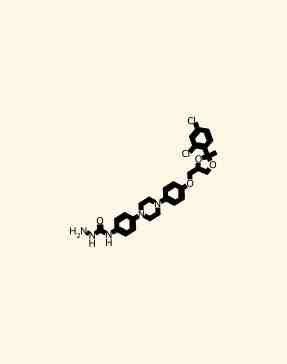 CC1(c2ccc(Cl)cc2Cl)OCC(COc2ccc(N3CCN(c4ccc(NC(=O)NN)cc4)CC3)cc2)O1